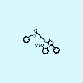 COc1ccccc1-n1c(SCCCC(=O)OCc2ccccc2)nnc1-c1ccccc1